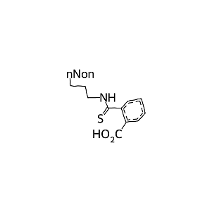 CCCCCCCCCCCCNC(=S)c1ccccc1C(=O)O